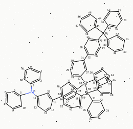 c1ccc(N(c2ccccc2)c2cccc(-c3ccc([Si](c4ccccc4)(c4cccc(-c5ccc(C(c6ccccc6)(c6ccccc6)c6ccccc6)cc5)c4)[Si](c4ccccc4)(c4ccccc4)c4ccccc4)cc3)c2)cc1